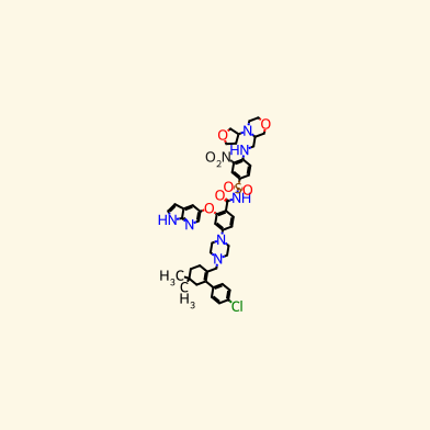 CC1(C)CCC(CN2CCN(c3ccc(C(=O)NS(=O)(=O)c4ccc(NCC5COCCN5C5CCOC5)c([N+](=O)[O-])c4)c(Oc4cnc5[nH]ccc5c4)c3)CC2)=C(c2ccc(Cl)cc2)C1